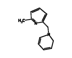 Cc1cccc(CN2C=CC=CC2)n1